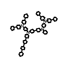 c1ccc(-c2ccc(-c3ccc(-c4ccc(N(c5ccc(-c6ccc(N(c7ccccc7)c7ccc(N(c8ccc(-c9ccccc9)cc8)c8ccc(-c9ccccc9)cc8)cc7)cc6)cc5)c5ccc(N(c6ccc(-c7ccccc7)cc6)c6ccc(-c7ccccc7)cc6)cc5)cc4)cc3)cc2)cc1